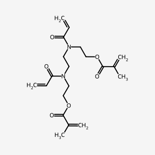 C=CC(=O)N(CCOC(=O)C(=C)C)CCN(CCOC(=O)C(=C)C)C(=O)C=C